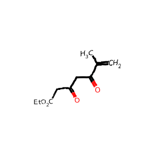 C=C(C)C(=O)CC(=O)CC(=O)OCC